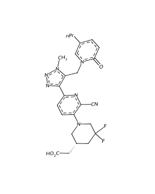 CCCc1ccc(=O)n(Cc2c(-c3ccc(N4C[C@@H](CC(=O)O)CC(F)(F)C4)c(C#N)n3)nnn2C)c1